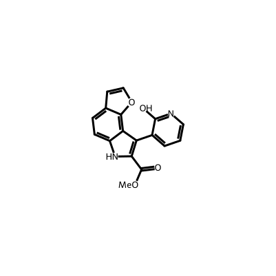 COC(=O)c1[nH]c2ccc3ccoc3c2c1-c1cccnc1O